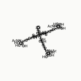 CC(=O)N[C@@H]1[C@@H](O)[C@@H](O)[C@@H](CO)O[C@@H]1CCCOCCOCCNC(=O)NCCCC(CCCNC(=O)NCCOCCOCCC[C@H]1O[C@H](CO)[C@H](O)[C@H](O)[C@H]1NC(C)=O)(CCCNC(=O)NCCOCCOCCC[C@H]1O[C@H](CO)[C@H](O)[C@H](O)[C@H]1NC(C)=O)NC(=O)OCc1ccccc1